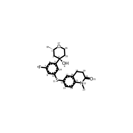 C[C@H]1C[C@@](O)(c2cc(F)cc(Sc3ccc4c(c3)CCC(=O)N4C)c2)CCO1